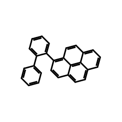 c1ccc(-c2ccccc2-c2ccc3ccc4cccc5ccc2c3c45)cc1